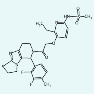 CCc1nc(NS(C)(=O)=O)ccc1OCC(=O)N1CCc2nc3n(c2C1c1ccc(C)c(F)c1F)CCS3